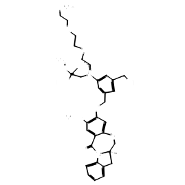 COCCOCCOCCN(CC(C)(C)SSC)c1cc(CCl)cc(COc2cc3c(cc2OC)C(=O)N2c4ccccc4C[C@H]2CN3)c1